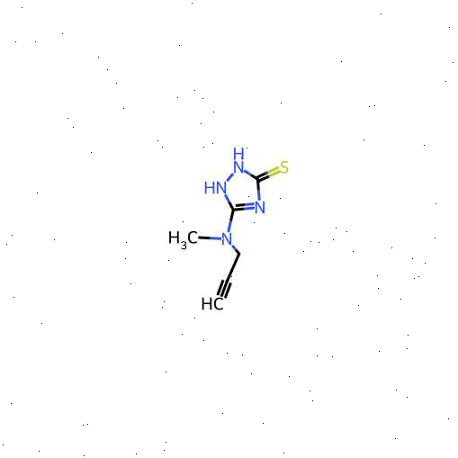 C#CCN(C)c1nc(=S)[nH][nH]1